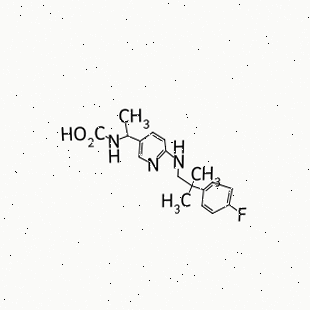 CC(NC(=O)O)c1ccc(NCC(C)(C)c2ccc(F)cc2)nc1